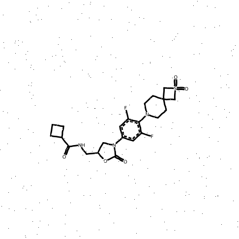 O=C(NCC1CN(c2cc(F)c(N3CCC4(CC3)CS(=O)(=O)C4)c(F)c2)C(=O)O1)C1CCC1